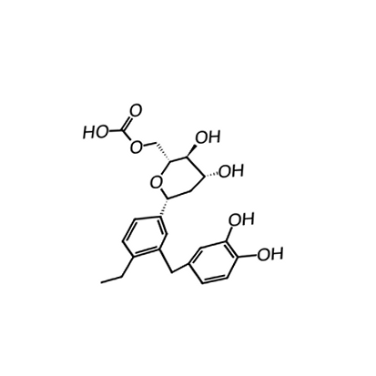 CCc1ccc([C@H]2C[C@@H](O)[C@H](O)[C@@H](COC(=O)O)O2)cc1Cc1ccc(O)c(O)c1